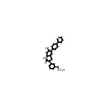 O=C(O)Cc1cccc(-c2cc3cc(-c4ccc(-c5cccnc5)cc4)c(Cl)cc3[nH]c2=O)c1